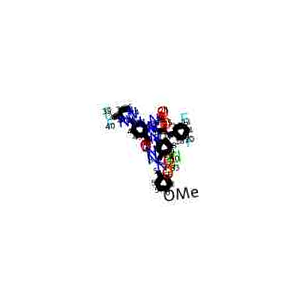 COc1ccc(CN(c2nn(C)c3c(-n4c([C@H](Cc5cc(F)cc(F)c5)OC(N)=O)nc5cc(-c6nccc(C(F)F)n6)ccc5c4=O)ccc(Cl)c23)S(C)(=O)=O)cc1